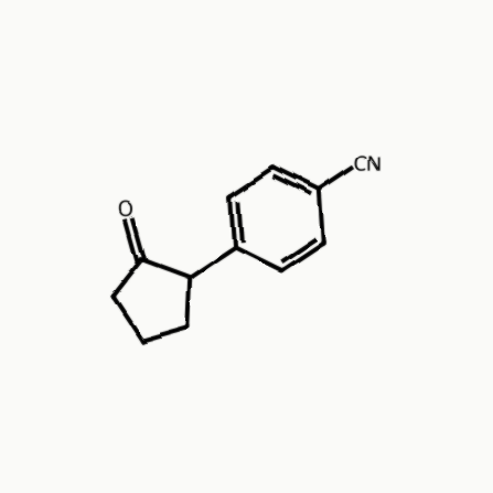 N#Cc1ccc(C2CCCC2=O)cc1